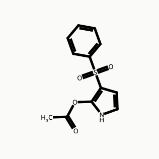 CC(=O)Oc1[nH]ccc1S(=O)(=O)c1ccccc1